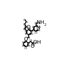 CCCc1cc2cc(COc3ccccc3CC(=O)O)cc(-c3ccnc(CN)c3)c2o1